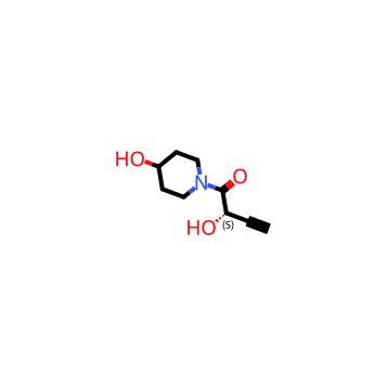 C#C[C@H](O)C(=O)N1CCC(O)CC1